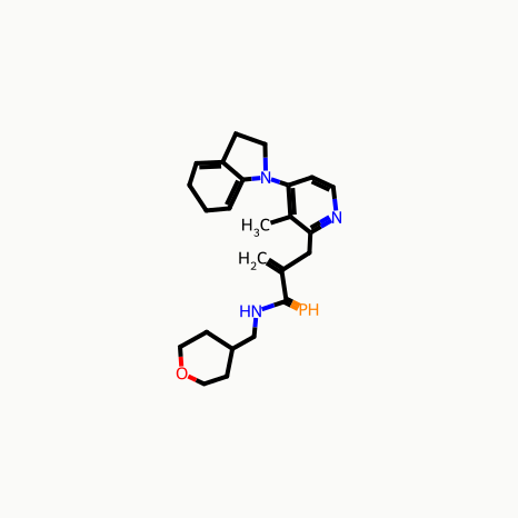 C=C(Cc1nccc(N2CCC3=CCCC=C32)c1C)C(=P)NCC1CCOCC1